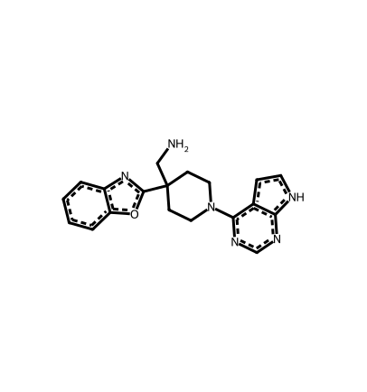 NCC1(c2nc3ccccc3o2)CCN(c2ncnc3[nH]ccc23)CC1